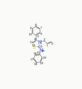 C=CCn1c(-c2ccccc2)csc1=Nc1ccccc1